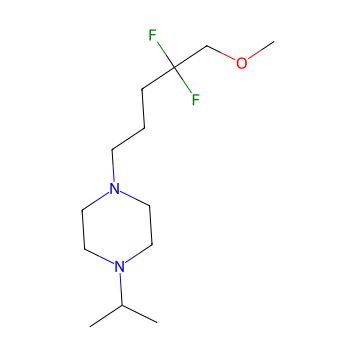 COCC(F)(F)CCCN1CCN(C(C)C)CC1